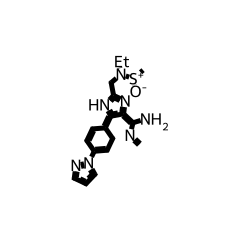 C=N/C(N)=c1/nc(CN(CC)[S+](C)[O-])[nH]/c1=C1\C=CC(n2cccn2)=CC1